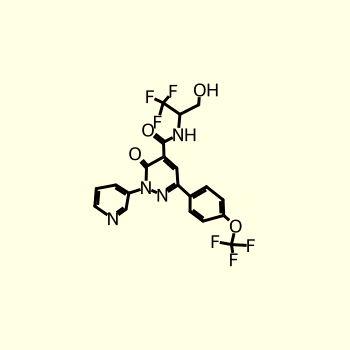 O=C(NC(CO)C(F)(F)F)c1cc(-c2ccc(OC(F)(F)F)cc2)nn(-c2cccnc2)c1=O